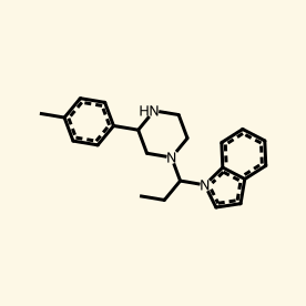 CCC(N1CCNC(c2ccc(C)cc2)C1)n1ccc2ccccc21